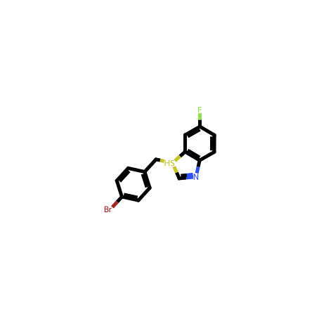 Fc1ccc2c(c1)[SH](Cc1ccc(Br)cc1)C=N2